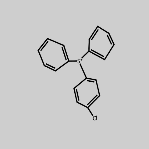 Clc1ccc([S+](c2ccccc2)c2ccccc2)cc1